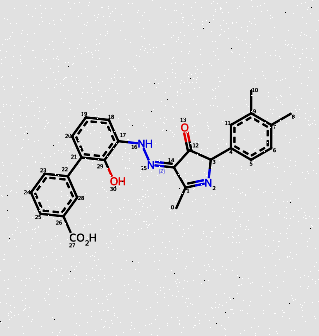 CC1=NC(c2ccc(C)c(C)c2)C(=O)/C1=N\Nc1cccc(-c2cccc(C(=O)O)c2)c1O